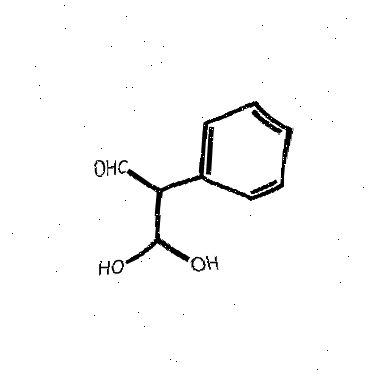 O=CC(c1ccccc1)C(O)O